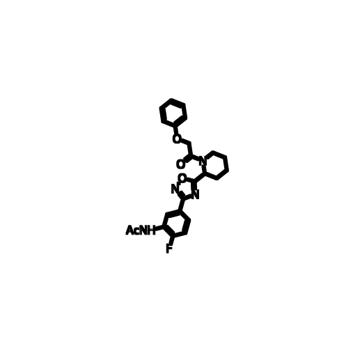 CC(=O)Nc1cc(-c2noc(C3CCCCN3C(=O)COc3ccccc3)n2)ccc1F